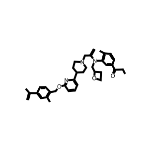 C=C(C)c1ccc(COc2cccc(C3CCN(CC(=C)N(CC4CCO4)c4cc(C(=O)CC)ccc4C)CC3)n2)c(C)c1